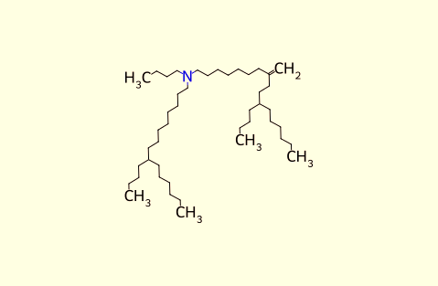 C=C(CCCCCCCN(CCCC)CCCCCCCCC(CCCC)CCCCCC)CCC(CCCC)CCCCCC